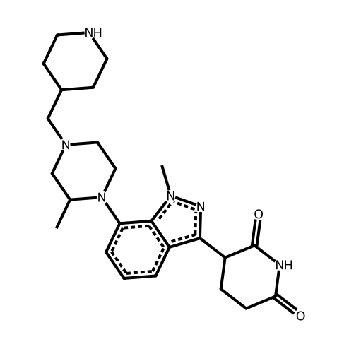 CC1CN(CC2CCNCC2)CCN1c1cccc2c(C3CCC(=O)NC3=O)nn(C)c12